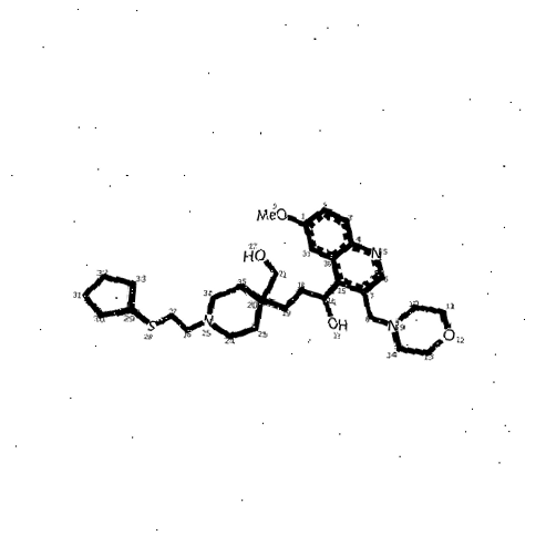 COc1ccc2ncc(CN3CCOCC3)c(C(O)CCC3(CO)CCN(CCSC4CCCC4)CC3)c2c1